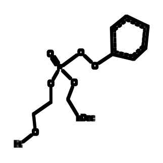 CCCCCCCCCCCOP(=O)(OCCOCC)OOc1ccccc1